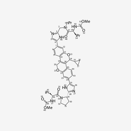 CCCN(Cc1ncc(-c2ccc3c(c2)OC(C2CC2)C2=C3COc3cc(-c4cnc([C@@H]5CCCN5C(=O)[C@@H](NC(=O)OC)C(C)C)[nH]4)ccc32)[nH]1)C(=O)[C@@H](NC(=O)OC)C(C)C